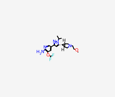 COCCN1C[C@@H]2[C@H](C1)[C@@H]2c1cc(-c2cnc(N)c(OC(F)F)c2)nn1C(C)C